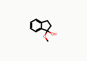 COC1(O)CCc2ccccc21